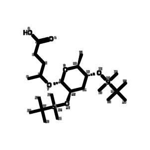 CC(CCC(=O)O)O[C@@H]1O[C@@H](C)[C@H](O[Si](C)(C)C(C)(C)C)C[C@H]1O[Si](C)(C)C(C)(C)C